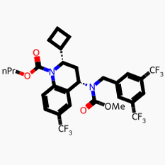 CCCOC(=O)N1c2ccc(C(F)(F)F)cc2[C@@H](N(Cc2cc(C(F)(F)F)cc(C(F)(F)F)c2)C(=O)OC)C[C@H]1C1CCC1